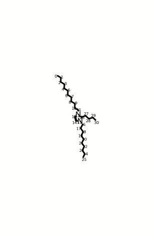 CCCCCCCCCCCCN1C=CN(CCCCCCCCCC)C1CCCC